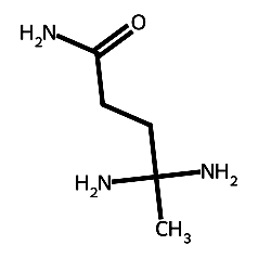 CC(N)(N)CCC(N)=O